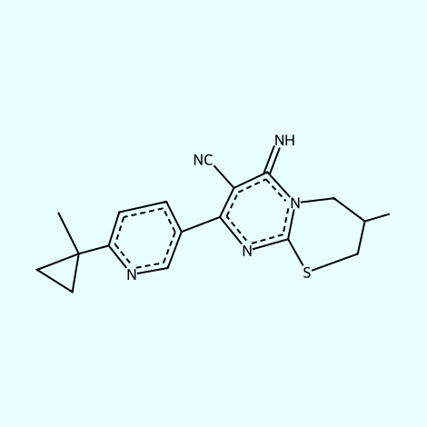 CC1CSc2nc(-c3ccc(C4(C)CC4)nc3)c(C#N)c(=N)n2C1